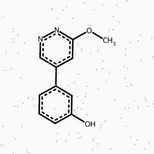 COc1cc(-c2cccc(O)c2)cnn1